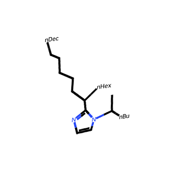 CCCCCCCCCCCCCCCC(CCCCCC)c1nccn1C(C)CCCC